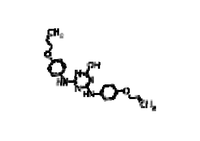 C=CCOc1ccc(Nc2nc(O)nc(Nc3ccc(OCC=C)cc3)n2)cc1